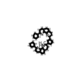 CC1(c2cc#cc(C3CC=c4ccc5ccc(-c6ccccc6)nc5c4=N3)c2)C=Cc2ccc3ccc(-c4ccccc4)nc3c2N1